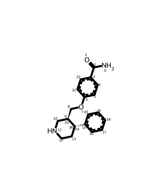 NC(=O)c1ccc(OC[C@@H]2CNCC[C@H]2c2ccccc2)cc1